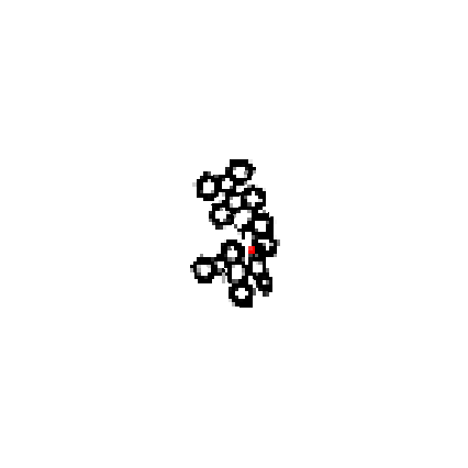 c1ccc2c(c1)-c1ccccc1C21c2ccccc2-c2c(N(c3cc4c5c(c3)c3ccccc3n5-c3ccccc3C43c4ccccc4-c4ccccc43)c3cccc4ccccc34)cccc21